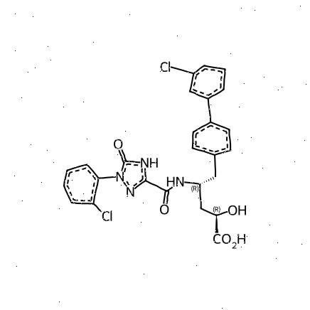 O=C(N[C@H](Cc1ccc(-c2cccc(Cl)c2)cc1)C[C@@H](O)C(=O)O)c1nn(-c2ccccc2Cl)c(=O)[nH]1